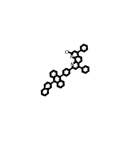 Clc1cc(-c2ccccc2)c2ccc3c(-c4ccccc4)cc(-c4ccc(-c5c6ccccc6c(-c6ccc7ccccc7c6)c6ccccc56)cc4)nc3c2n1